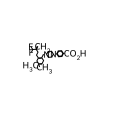 C=C(CCC1=C(CN2CCN(c3ccc(C(=O)O)cc3)CC2)CCC(C)(C)C1)C(F)F